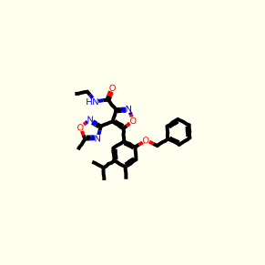 CCNC(=O)c1noc(-c2cc(C(C)C)c(C)cc2OCc2ccccc2)c1-c1noc(C)n1